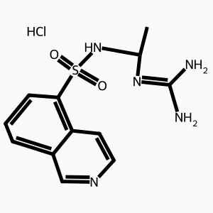 CC(N=C(N)N)NS(=O)(=O)c1cccc2cnccc12.Cl